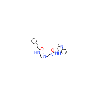 Cc1cc(NC(=O)NCCN2CCC(NC(=O)CCc3ccccc3)C2)c2ccccc2n1